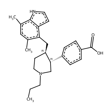 CCCN1CC[C@@H](Cc2c(C)cc(C)c3[nH]ccc23)[C@H](c2ccc(C(=O)O)cc2)C1